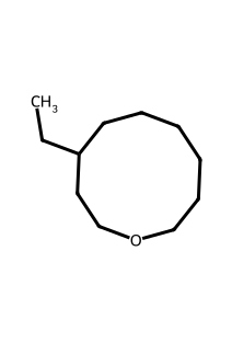 CCC1CCCCCCOCC1